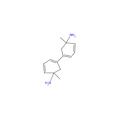 CC1(N)C=CC=C(C2=CC=CC(C)(N)C2)C1